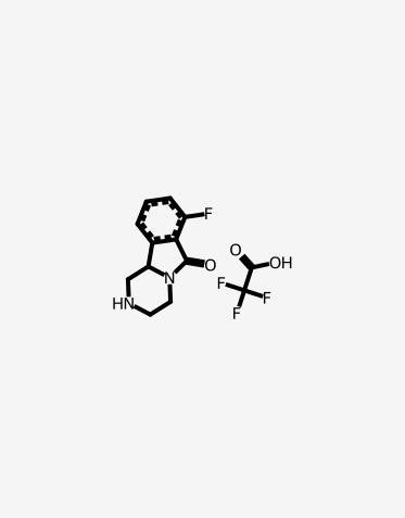 O=C(O)C(F)(F)F.O=C1c2c(F)cccc2C2CNCCN12